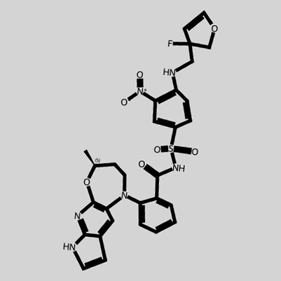 C[C@H]1CCN(c2ccccc2C(=O)NS(=O)(=O)c2ccc(NCC3(F)C=COC3)c([N+](=O)[O-])c2)c2cc3cc[nH]c3nc2O1